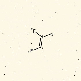 [CH2]/C(F)=C/F